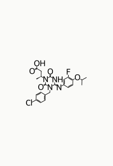 CC(C)Oc1ccc(/N=c2\[nH]c(=O)n([C@@H](C)CC(=O)O)c(=O)n2Cc2ccc(Cl)cc2)cc1F